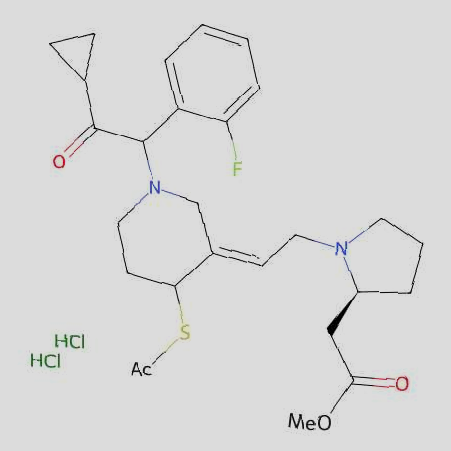 COC(=O)C[C@@H]1CCCN1C/C=C1\CN(C(C(=O)C2CC2)c2ccccc2F)CCC1SC(C)=O.Cl.Cl